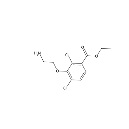 CCOC(=O)c1ccc(Cl)c(OCCN)c1Cl